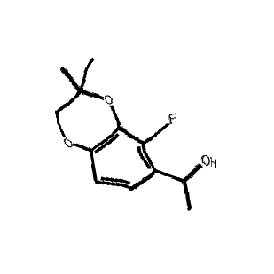 CC(O)c1ccc2c(c1F)OC(C)(C)CO2